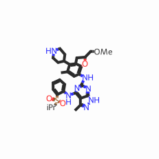 COCC1Cc2c(c(Nc3nc(Nc4ccccc4S(=O)(=O)C(C)C)c4c(C)n[nH]c4n3)cc(C)c2C2CCNCC2)O1